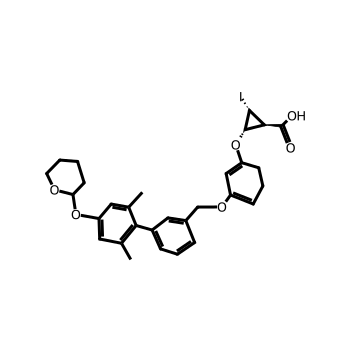 Cc1cc(OC2CCCCO2)cc(C)c1-c1cccc(COC2=CCCC(O[C@@H]3[C@H](I)[C@H]3C(=O)O)=C2)c1